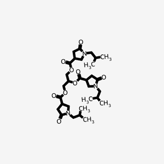 CC(C)CN1CC(C(=O)OCC(COC(=O)C2CC(=O)N(CC(C)C)C2)OC(=O)C2CC(=O)N(CC(C)C)C2)CC1=O